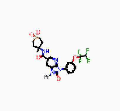 CC(C)n1c(=O)n(-c2cccc(OC(F)(F)C(F)F)c2)c2ncc(C(=O)NC3(C)CCS(=O)(=O)CC3)cc21